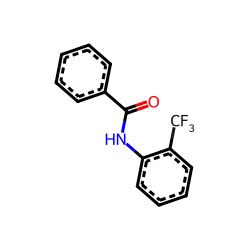 O=C(Nc1ccccc1C(F)(F)F)c1ccccc1